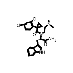 CN(C)CCN(C(=O)C1(c2ccc(Cl)cc2Cl)CC1)[C@@H](Cc1c[nH]c2ccccc12)C(N)=O